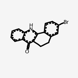 O=c1c2c([nH]c3ccccc13)-c1ccc(Br)cc1CC2